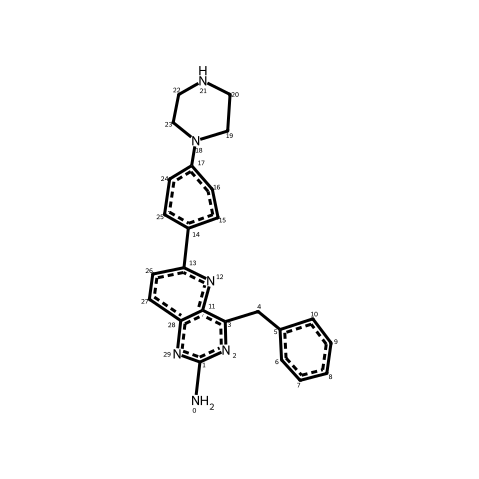 Nc1nc(Cc2ccccc2)c2nc(-c3ccc(N4CCNCC4)cc3)ccc2n1